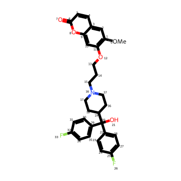 COc1cc2ccc(=O)oc2cc1OCCCN1CCC(C(O)(c2ccc(F)cc2)c2ccc(F)cc2)CC1